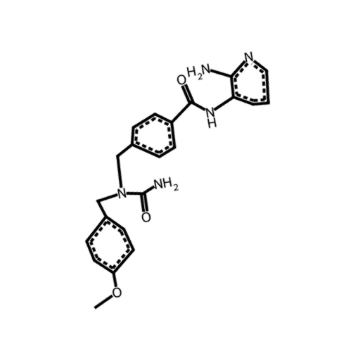 COc1ccc(CN(Cc2ccc(C(=O)Nc3cccnc3N)cc2)C(N)=O)cc1